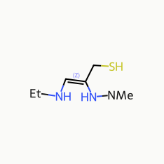 CCN/C=C(/CS)NNC